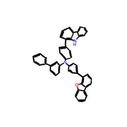 c1ccc(-c2cccc(N(c3ccc(-c4cccc5c4[nH]c4ccccc45)cc3)c3ccc(-c4cccc5c4oc4ccccc45)cc3)c2)cc1